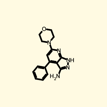 Nc1n[nH]c2nc(N3CCOCC3)cc(-c3ccccc3)c12